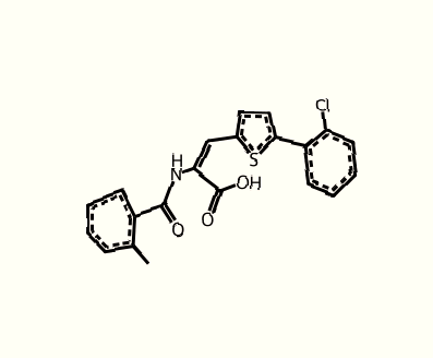 Cc1ccccc1C(=O)NC(=Cc1ccc(-c2ccccc2Cl)s1)C(=O)O